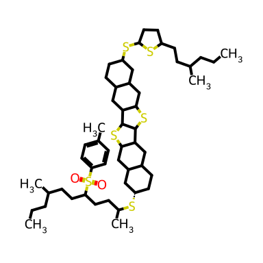 CCCC(C)CCC1CCC(SC2CCC3CC4C(CC3C2)SC2C3CC5CC[C@H](SC(C)CCC(CCC(C)CCC)S(=O)(=O)c6ccc(C)cc6)CC5CC3SC42)S1